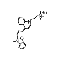 CN1c2ccccc2OC1/C=C\C=C1\C=CN(CCC[N+](C)(C)C(C)(C)C)c2ccccc21